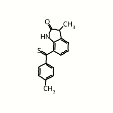 Cc1ccc(C(=S)c2cccc3c2NC(=O)C3C)cc1